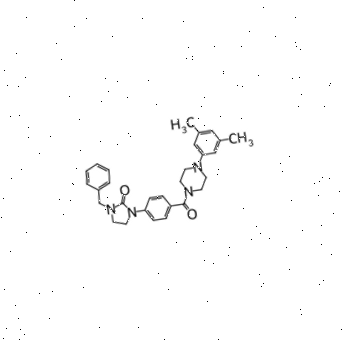 Cc1cc(C)cc(N2CCN(C(=O)c3ccc(N4CCN(Cc5ccccc5)C4=O)cc3)CC2)c1